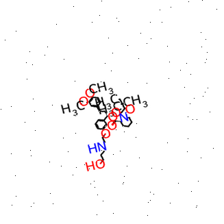 CCC(C)(C)C(=O)C(=O)N1CCCC[C@H]1C(=O)O[C@H](CCc1ccc(OC)c(OC)c1)c1cccc(OCCNCCCO)c1